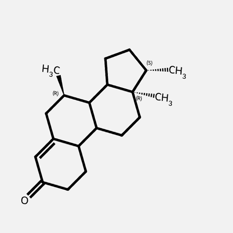 C[C@@H]1CC2=CC(=O)CCC2C2CC[C@@]3(C)C(CC[C@@H]3C)C21